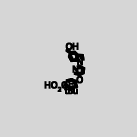 CC(C)(C)[N+]1(C(=O)O)CCC(Oc2ccc(-n3ccc4cc(CO)ccc43)nc2)CC1